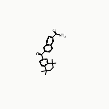 CC1(C)CCC(C)(C)c2cc(C(=O)c3ccc4cc(C(N)=O)ccc4c3)ccc21